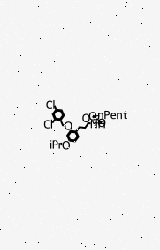 CCCCCS(=O)(=O)NC(=O)CCc1ccc(OC(C)C)cc1OCc1ccc(Cl)cc1Cl